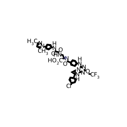 Cc1cc(C)n(-c2ccc(NC(=O)C(=O)NC/C(=N/C(=O)c3ccc(Nc4nc(NC5(c6ccc(Cl)cc6)CC5)nc(OCC(F)(F)F)n4)cc3)C(=O)O)cc2)n1